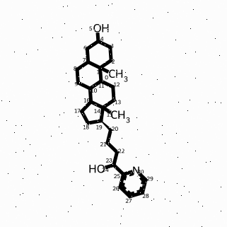 CC12CCC(O)CC1CCC1C2CCC2(C)C1CC[C@@H]2CCCC(O)c1ccccn1